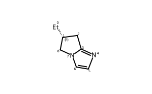 CC[C@@H]1Cc2nccn2C1